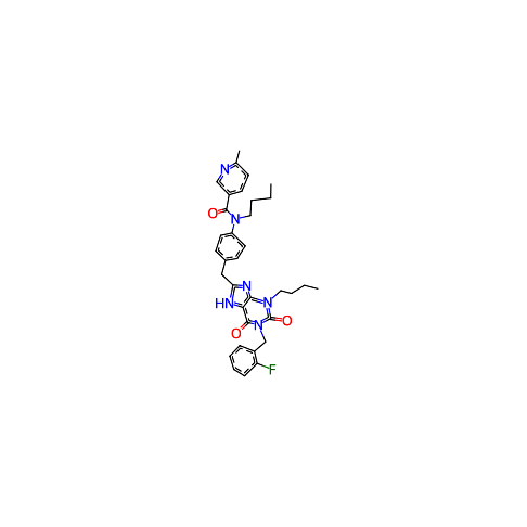 CCCCN(C(=O)c1ccc(C)nc1)c1ccc(Cc2nc3c([nH]2)c(=O)n(Cc2ccccc2F)c(=O)n3CCCC)cc1